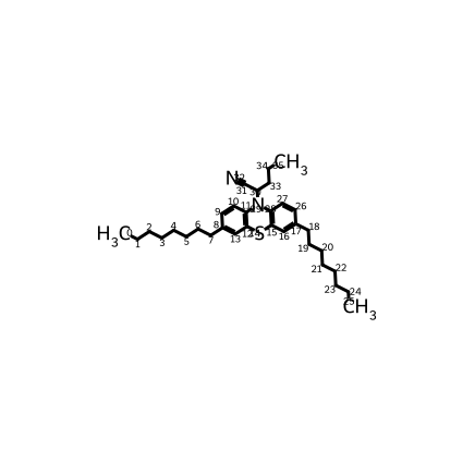 CCCCCCCCc1ccc2c(c1)Sc1cc(CCCCCCCC)ccc1N2C(C#N)CCC